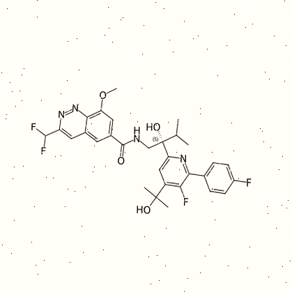 COc1cc(C(=O)NC[C@](O)(c2cc(C(C)(C)O)c(F)c(-c3ccc(F)cc3)n2)C(C)C)cc2cc(C(F)F)nnc12